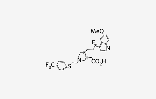 COc1ccc2nccc([C@H](F)CC[C@@H]3CCN(CCSc4ccc(C(F)(F)F)cc4)C[C@@H]3CC(=O)O)c2c1